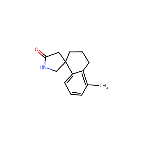 Cc1cccc2c1CCCC21CNC(=O)C1